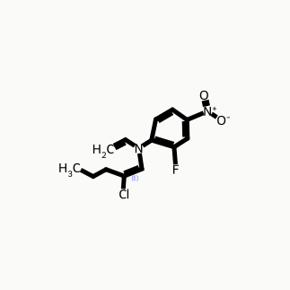 C=CN(/C=C(/Cl)CCC)c1ccc([N+](=O)[O-])cc1F